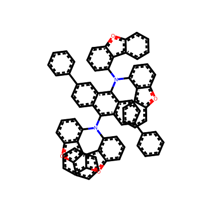 c1ccc(-c2ccc3c(N(c4cccc5oc6ccccc6c45)c4cccc5oc6ccccc6c45)c4cc(-c5ccccc5)ccc4c(N(c4cccc5oc6ccccc6c45)c4cccc5oc6ccccc6c45)c3c2)cc1